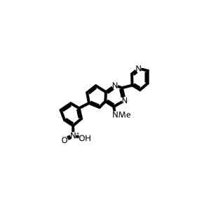 CNc1nc(-c2cccnc2)nc2ccc(-c3cccc([N+](=O)O)c3)cc12